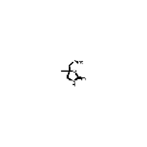 CCCC(C)CC1(C)CNC(=O)O1